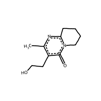 Cc1nc2n(c(=O)c1CCO)CCCC2